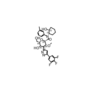 CO[C@@H]1[C@@H](n2cc(-c3cc(F)c(F)c(F)c3)nn2)[C@@H](O)[C@@H](CO)O[C@H]1C(=O)N(c1cccc(C)c1)[C@H]1CCCC[C@@H]1O